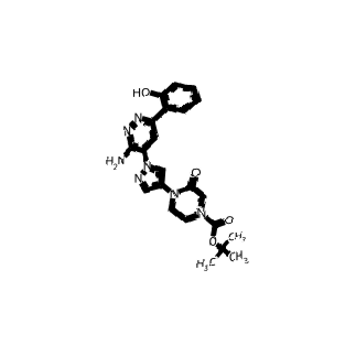 CC(C)(C)OC(=O)N1CCN(c2cnn(-c3cc(-c4ccccc4O)nnc3N)c2)C(=O)C1